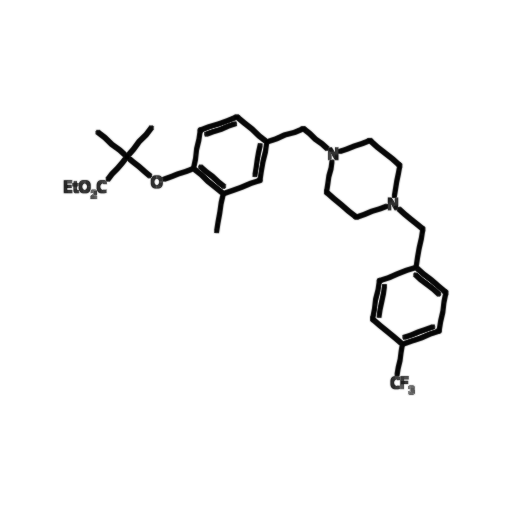 CCOC(=O)C(C)(C)Oc1ccc(CN2CCN(Cc3ccc(C(F)(F)F)cc3)CC2)cc1C